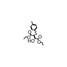 CCOC(=O)/C(O)=C(\Sc1ccc(C)cc1)C(=O)OCC